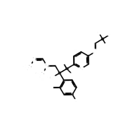 N/N=C\N(N)CC(O)(c1ccc(F)cc1F)C(F)(F)c1ccc(OCC(F)(F)F)cn1